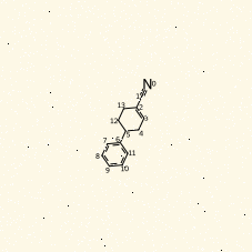 N#CC1=CCC(c2ccccc2)CC1